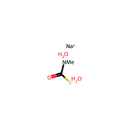 CNC(=O)[S-].O.O.[Na+]